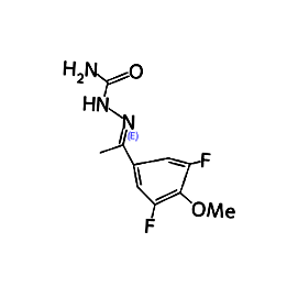 COc1c(F)cc(/C(C)=N/NC(N)=O)cc1F